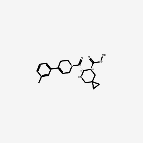 Cc1cccc(C2=CCN(C(=O)[C@H]3NCC4(CC4)C[C@@H]3C(=O)NO)CC2)c1